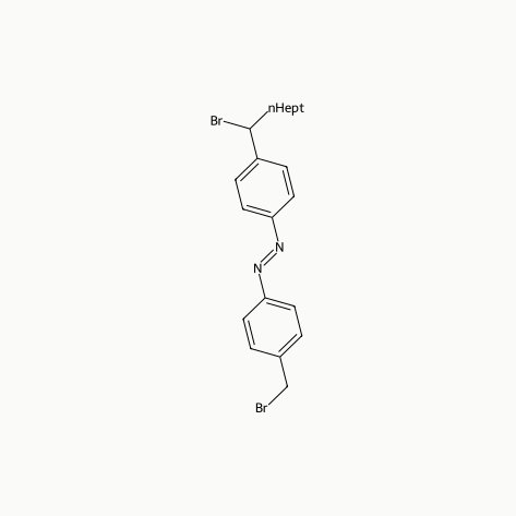 CCCCCCCC(Br)c1ccc(/N=N/c2ccc(CBr)cc2)cc1